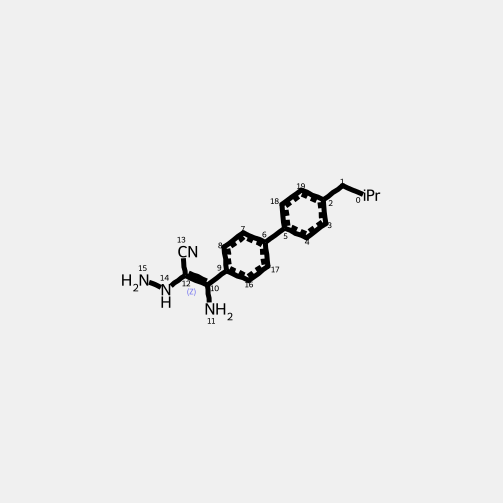 CC(C)Cc1ccc(-c2ccc(/C(N)=C(\C#N)NN)cc2)cc1